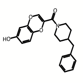 O=C(C1=COc2cc(O)ccc2O1)N1CCC(Cc2ccccc2)CC1